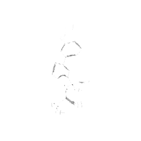 CNC(=N)NC(C)(C=O)c1cccc(-c2cccc(OC)c2)c1